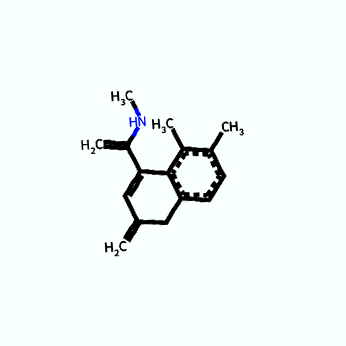 C=C1C=C(C(=C)NC)c2c(ccc(C)c2C)C1